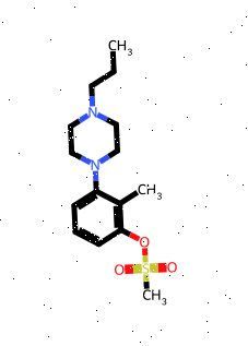 CCCN1CCN(c2cccc(OS(C)(=O)=O)c2C)CC1